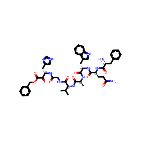 CC(C)[C@H](NC(=O)[C@H](C)NC(=O)[C@H](Cc1c[nH]c2ccccc12)NC(=O)[C@H](CCC(N)=O)NC(=O)[C@H](N)Cc1ccccc1)C(=O)NCC(=O)N[C@@H](Cc1c[nH]cn1)C(=O)C(=O)OCc1ccccc1